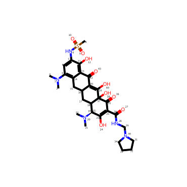 CN(C)c1cc(NS(C)(=O)=O)c(O)c2c1CC1CC3[C@H](N(C)C)C(O)=C(C(=O)NCN4CCCC4)C(=O)C3(O)C(O)=C1C2=O